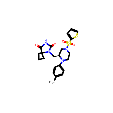 Cc1ccc(N2CCN(S(=O)(=O)c3cccs3)C[C@@H]2CN2C(=O)NC(=O)C23CCC3)cc1